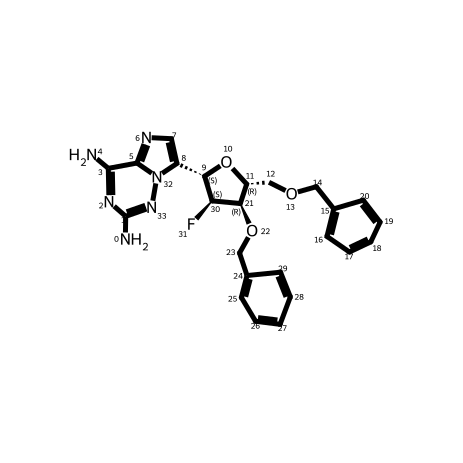 Nc1nc(N)c2ncc([C@@H]3O[C@H](COCc4ccccc4)[C@@H](OCc4ccccc4)[C@H]3F)n2n1